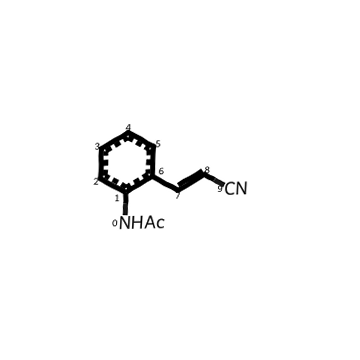 CC(=O)Nc1ccccc1C=CC#N